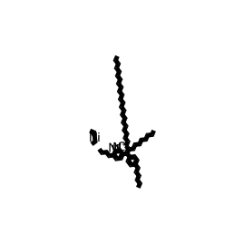 CCCCCCCCCCCCCCCCCCCCCCCC(=C=[N+]=[N-])C(CCCCCCCC)=C(c1ccc(CCCC)cc1)c1ccc(CCCCCC)cc1.C[CH2][Ni][CH2]C